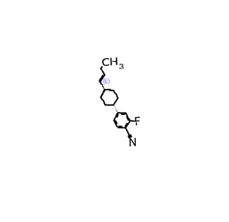 CC/C=C/[C@H]1CC[C@H](c2ccc(C#N)c(F)c2)CC1